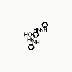 Oc1cc(NNc2ccccc2)ccc1NNc1ccccc1